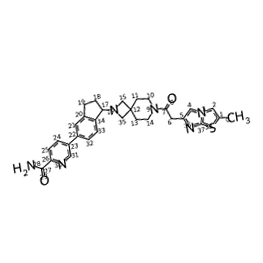 Cc1cn2cc(CC(=O)N3CCC4(CC3)CN(C3CCc5cc(-c6ccc(C(N)=O)nc6)ccc53)C4)nc2s1